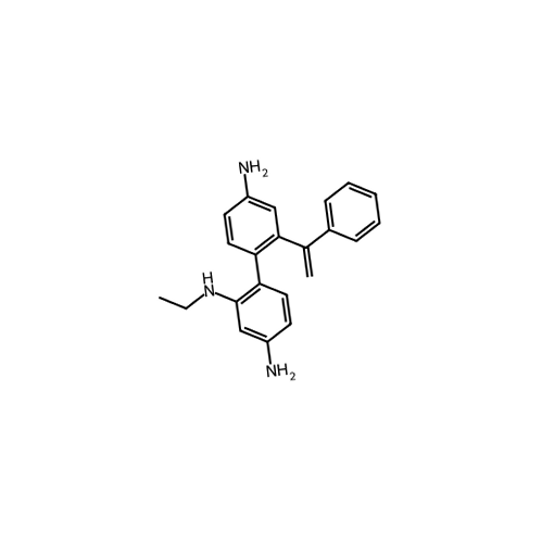 C=C(c1ccccc1)c1cc(N)ccc1-c1ccc(N)cc1NCC